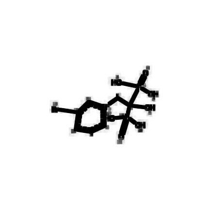 O=P(O)(O)C(O)(C[n+]1cccc(Br)c1)P(=O)(O)O